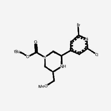 COCC1CN(C(=O)OC(C)(C)C)CC(c2cc(Cl)nc(Br)c2)N1